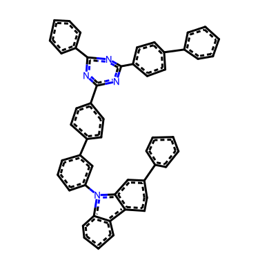 c1ccc(-c2ccc(-c3nc(-c4ccccc4)nc(-c4ccc(-c5cccc(-n6c7ccccc7c7ccc(-c8ccccc8)cc76)c5)cc4)n3)cc2)cc1